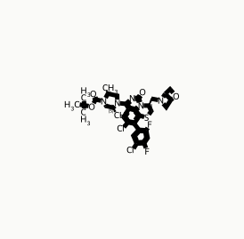 C[C@@H]1CN(c2nc(=O)n3c4c(c(-c5cc(Cl)c(F)cc5F)c(Cl)cc24)SC[C@@H]3CN2CC3OCC32)[C@@H](C)CN1C(=O)OC(C)(C)C